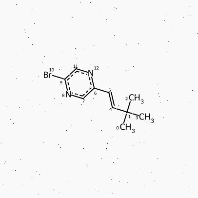 CC(C)(C)/C=C/c1cnc(Br)cn1